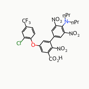 CCCN(CCC)c1c([N+](=O)[O-])cc(-c2cc(Oc3ccc(C(F)(F)F)cc3Cl)cc(C(=O)O)c2[N+](=O)[O-])cc1[N+](=O)[O-]